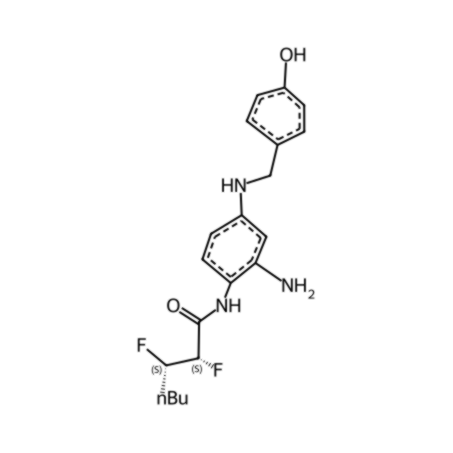 CCCC[C@H](F)[C@@H](F)C(=O)Nc1ccc(NCc2ccc(O)cc2)cc1N